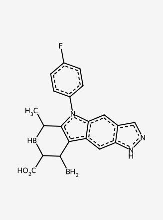 BC1c2c(n(-c3ccc(F)cc3)c3cc4cn[nH]c4cc23)C(C)BC1C(=O)O